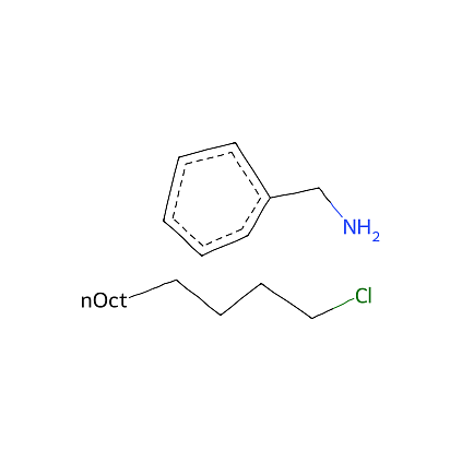 CCCCCCCCCCCCCl.NCc1ccccc1